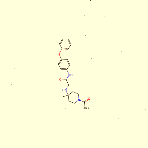 CC(C)COC(=O)N1CCC(C)(NCC(=O)Nc2ccc(Oc3ccccc3)cc2)CC1